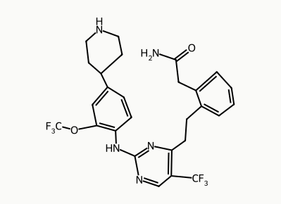 NC(=O)Cc1ccccc1CCc1nc(Nc2ccc(C3CCNCC3)cc2OC(F)(F)F)ncc1C(F)(F)F